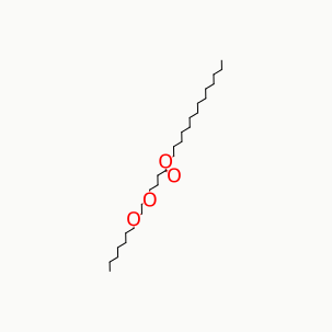 CCCCCCCCCCCCCCOC(=O)CCCOCCOCCCCCCC